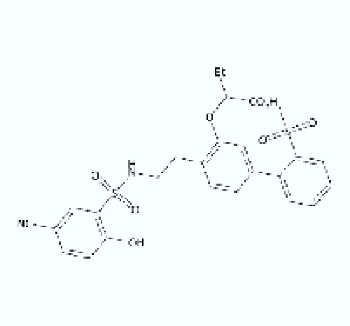 CCC(Oc1cc(-c2ccccc2S(C)(=O)=O)ccc1CCNS(=O)(=O)c1cc(C#N)ccc1O)C(=O)O